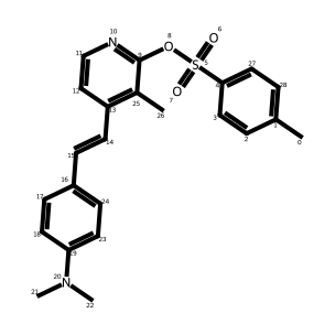 Cc1ccc(S(=O)(=O)Oc2nccc(C=Cc3ccc(N(C)C)cc3)c2C)cc1